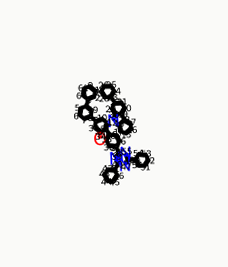 c1ccc(-c2cccc(-c3cc(-n4c5ccccc5c5ccc(-c6ccccc6)cc54)c4c(c3)oc3cc(-c5nc(-c6ccccc6)nc(-c6ccccc6)n5)ccc34)c2)cc1